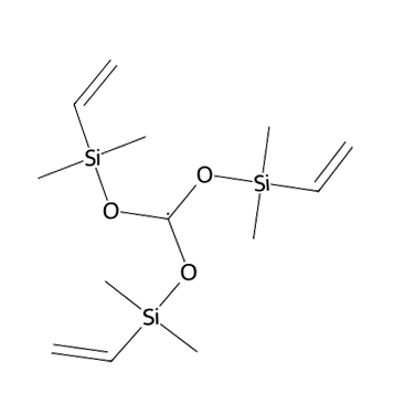 C=C[Si](C)(C)O[C](O[Si](C)(C)C=C)O[Si](C)(C)C=C